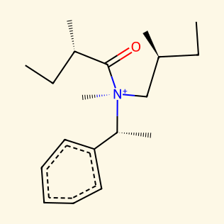 CC[C@H](C)C[N@+](C)(C(=O)[C@@H](C)CC)[C@H](C)c1ccccc1